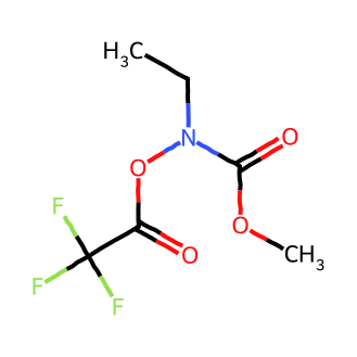 CCN(OC(=O)C(F)(F)F)C(=O)OC